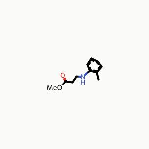 COC(=O)CCNc1ccccc1C